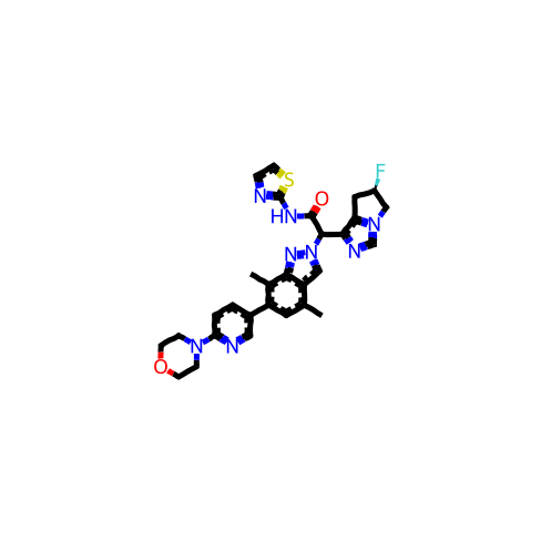 Cc1cc(-c2ccc(N3CCOCC3)nc2)c(C)c2nn(C(C(=O)Nc3nccs3)c3ncn4c3C[C@@H](F)C4)cc12